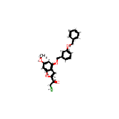 COc1cc(OCc2cccc(OCc3ccccc3)c2)c2cc(C(=O)CBr)oc2c1